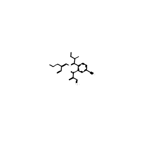 C=C/C(=C\N=C(\c1ccc(C#N)cc1C(=O)C(=C)C=N)C(C)CC)CCC